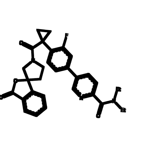 CCN(CC)C(=O)c1ccc(-c2ccc(C3(C(=O)N4CCC5(C4)OC(=O)c4ccccc45)CC3)c(F)c2)cn1